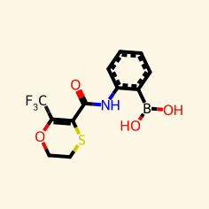 O=C(Nc1ccccc1B(O)O)C1=C(C(F)(F)F)OCCS1